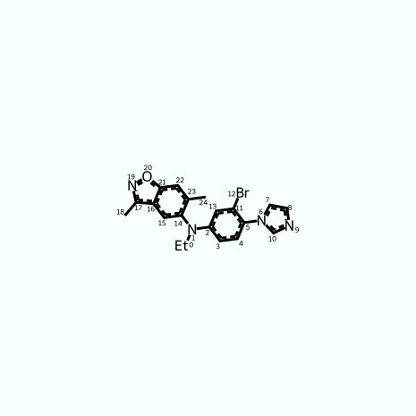 CCN(c1ccc(-n2ccnc2)c(Br)c1)c1cc2c(C)noc2cc1C